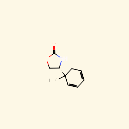 CC1([C@H]2COC(=O)N2)C=CC=CC1